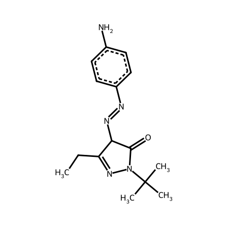 CCC1=NN(C(C)(C)C)C(=O)C1/N=N/c1ccc(N)cc1